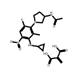 C=C(C(=O)O)C(=O)O.CC(=O)NC1CCN(c2c(F)cc([N+](=O)[O-])c(NC3CC3)c2C)C1